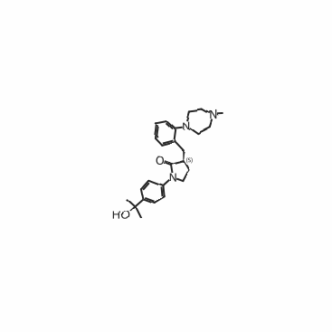 CN1CCN(c2ccccc2C[C@H]2CCN(c3ccc(C(C)(C)O)cc3)C2=O)CC1